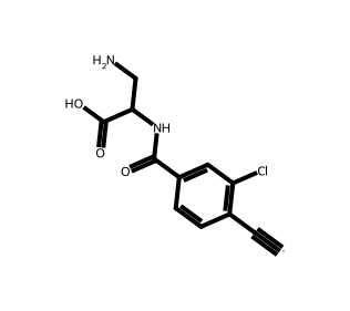 [C]#Cc1ccc(C(=O)NC(CN)C(=O)O)cc1Cl